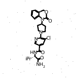 CC(C)[C@H](NC(=O)c1cnc(N2CCC(N3C(=O)OCc4ccccc43)CC2)c(Cl)c1)C(N)=O